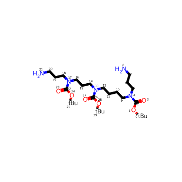 CC(C)(C)OC(=O)N(CCCN)CCCCN(CCCN(CCCN)C(=O)OC(C)(C)C)C(=O)OC(C)(C)C